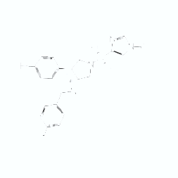 Cn1cnc(S(=O)(=O)N2C[C@H](NCc3ccc(Cl)cc3)[C@@H](c3ccc(F)cc3)C2)c1